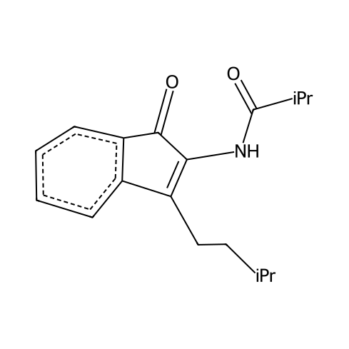 CC(C)CCC1=C(NC(=O)C(C)C)C(=O)c2ccccc21